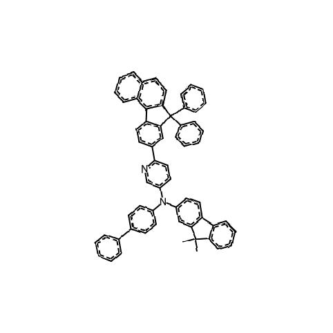 CC1(C)c2ccccc2-c2ccc(N(c3ccc(-c4ccccc4)cc3)c3ccc(-c4ccc5c(c4)C(c4ccccc4)(c4ccccc4)c4ccc6ccccc6c4-5)nc3)cc21